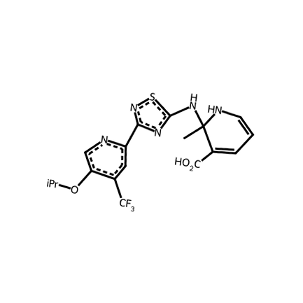 CC(C)Oc1cnc(-c2nsc(NC3(C)NC=CC=C3C(=O)O)n2)cc1C(F)(F)F